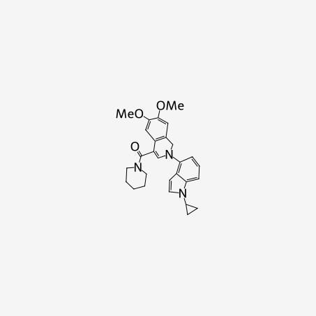 COc1cc2c(cc1OC)C(C(=O)N1CCCCC1)=CN(c1cccc3c1ccn3C1CC1)C2